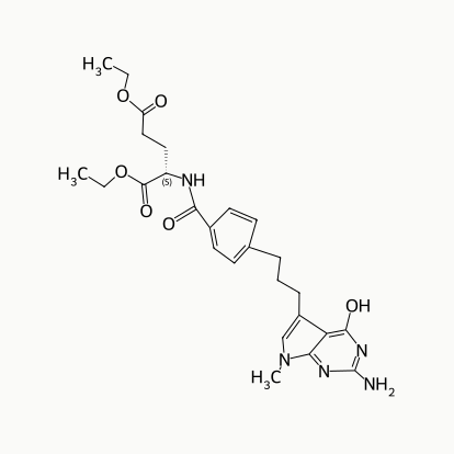 CCOC(=O)CC[C@H](NC(=O)c1ccc(CCCc2cn(C)c3nc(N)nc(O)c23)cc1)C(=O)OCC